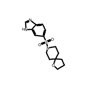 O=S(=O)(c1ccc2nc[nH]c2c1)N1CCC2(CCCO2)CC1